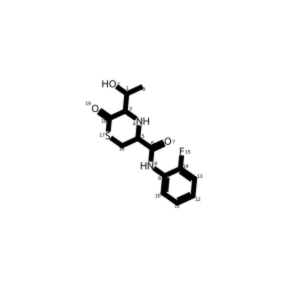 CC(O)C1NC(C(=O)Nc2ccccc2F)CSC1=O